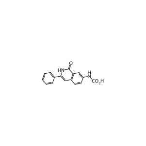 O=C(O)Nc1ccc2cc(-c3ccccc3)[nH]c(=O)c2c1